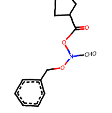 O=CN(OCc1ccccc1)OC(=O)C1CCCC1